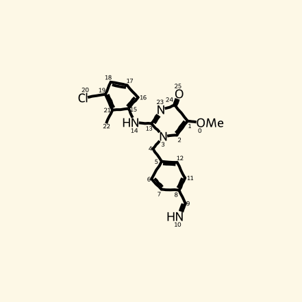 COc1cn(Cc2ccc(C=N)cc2)c(Nc2cccc(Cl)c2C)nc1=O